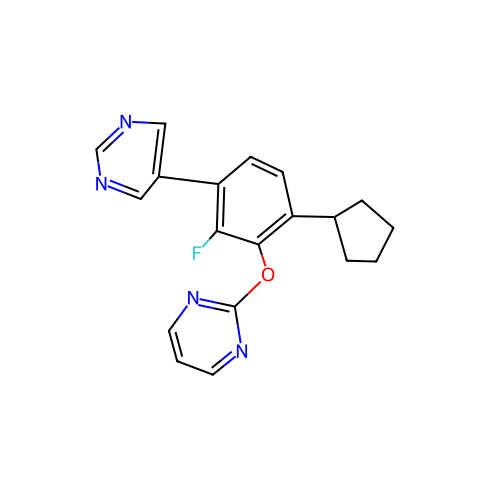 Fc1c(-c2cncnc2)ccc(C2CCCC2)c1Oc1ncccn1